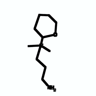 C[Si](C)(CCCN)C1CCCCO1